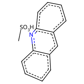 CS(=O)(=O)O.c1ccc2nc3ccccc3cc2c1